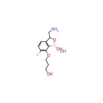 Cl.NCC1OB(O)c2c1ccc(F)c2OCCCO